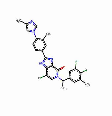 Cc1cn(-c2ccc(-c3nc4c(=O)n(C(C)c5cc(C)c(F)c(F)c5)cc(Cl)c4[nH]3)cc2C)cn1